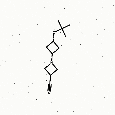 CC(C)(C)OC1CC(N2CC(C#N)C2)C1